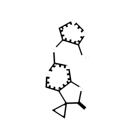 CSc1n[nH]cc1Nc1ncc2c(n1)NC(=O)C21CC1